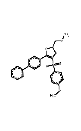 COc1ccc(S(=O)(=O)C2=C(c3ccc(-c4ccccc4)cc3)OC(CSC)C2)cc1